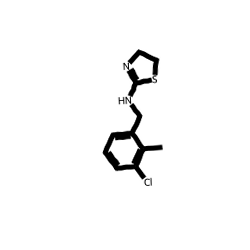 Cc1c(Cl)cccc1CNC1=NCCS1